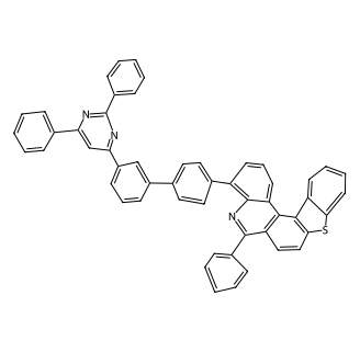 c1ccc(-c2cc(-c3cccc(-c4ccc(-c5cccc6c5nc(-c5ccccc5)c5ccc7sc8ccccc8c7c56)cc4)c3)nc(-c3ccccc3)n2)cc1